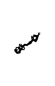 Fc1ccc(C#CCCc2nc3ccccc3o2)nc1